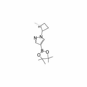 C[C@@H]1CCC1n1cc(B2OC(C)(C)C(C)(C)O2)cn1